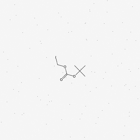 CC(C)(C)OC(=O)OCI